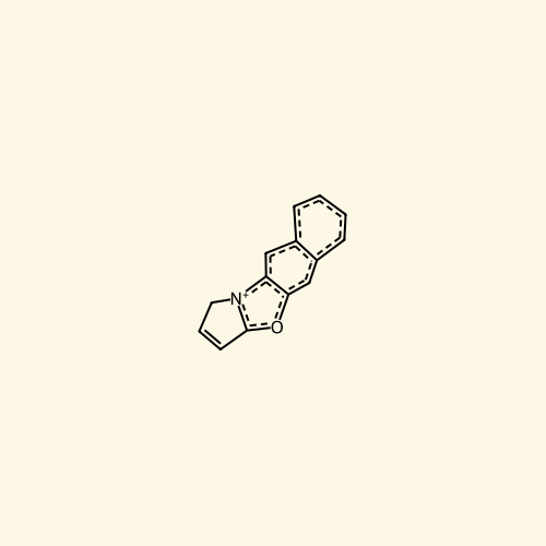 C1=Cc2oc3cc4ccccc4cc3[n+]2C1